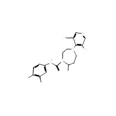 Cc1ccc(NC(=O)N2CCN(c3c(Cl)cncc3Cl)CCC2C)cc1Cl